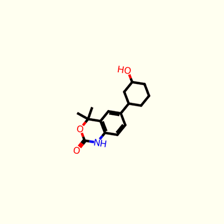 CC1(C)OC(=O)Nc2ccc(C3CCCC(O)C3)cc21